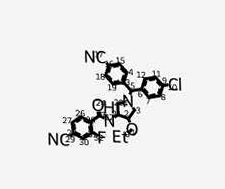 CCOC1CN(C(c2ccc(Cl)cc2)c2ccc(C#N)cc2)CC1NC(=O)c1ccc(C#N)cc1F